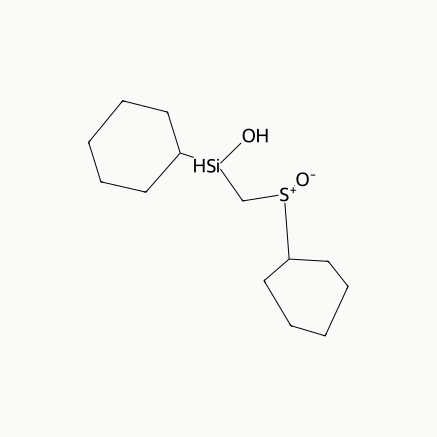 [O-][S+](C[SiH](O)C1CCCCC1)C1CCCCC1